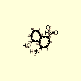 Nc1ccc([SH](=O)=O)c2cccc(O)c12